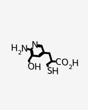 Nc1ncc(CC(CS)C(=O)O)cc1CO